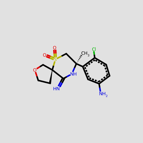 C[C@@]1(c2cc(N)ccc2Cl)CS(=O)(=O)[C@]2(CCOC2)C(=N)N1